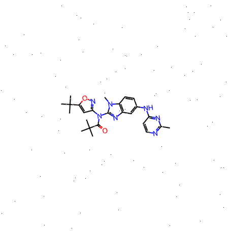 Cc1nccc(Nc2ccc3c(c2)nc(N(C(=O)C(C)(C)C)c2cc(C(C)(C)C)on2)n3C)n1